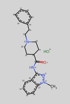 Cl.Cn1nc(NC(=O)C2CCN(CCc3ccccc3)CC2)c2ccccc21